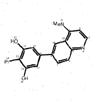 CNc1ccnc2ccc(-c3cc(O)c(C(C)C)c(O)c3)cc12